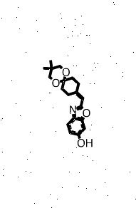 CC1(C)COC2(CCC(=Cc3nc4ccc(O)cc4o3)CC2)OC1